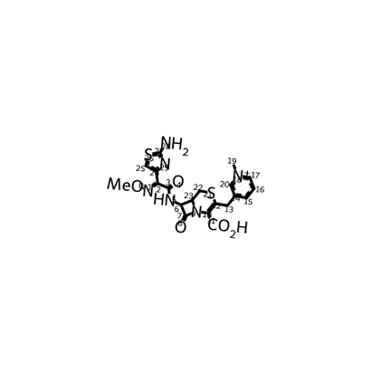 CON=C(C(=O)NC1C(=O)N2C(C(=O)O)=C(Cc3ccc[n+](C)c3)SCC12)c1csc(N)n1